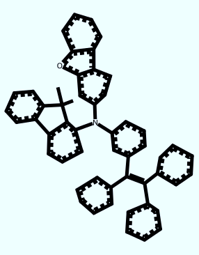 CC1(C)c2ccccc2-c2cccc(N(c3cccc(C(=C(c4ccccc4)c4ccccc4)c4ccccc4)c3)c3ccc4c(c3)oc3ccccc34)c21